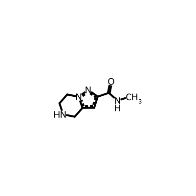 CNC(=O)c1cc2n(n1)CCNC2